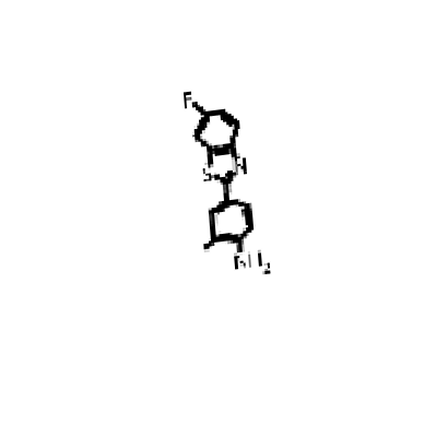 Cc1cc(-c2nc3ccc(F)cc3s2)ccc1N